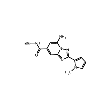 CCCCNC(=O)c1cc(N)n2nc(-c3cccn3C)nc2c1